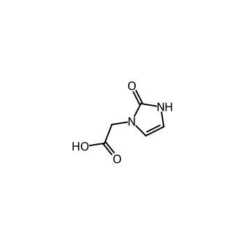 O=C(O)Cn1cc[nH]c1=O